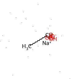 CCCCCCCCCCCCCCC(C)OC(CO)CS(=O)(=O)[O-].[Na+]